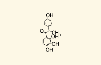 CC(C(=O)c1ccc(O)c(O)c1O)c1ccc(O)cc1